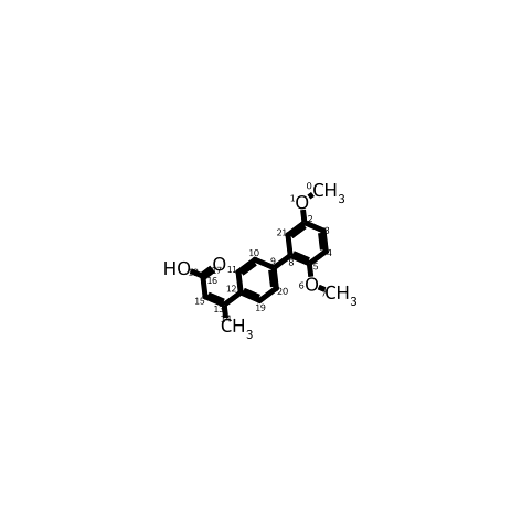 COc1ccc(OC)c(-c2ccc(/C(C)=C\C(=O)O)cc2)c1